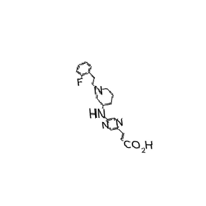 O=C(O)/C=C/c1cnc(N[C@@H]2CCCN(CCc3ccccc3F)C2)cn1